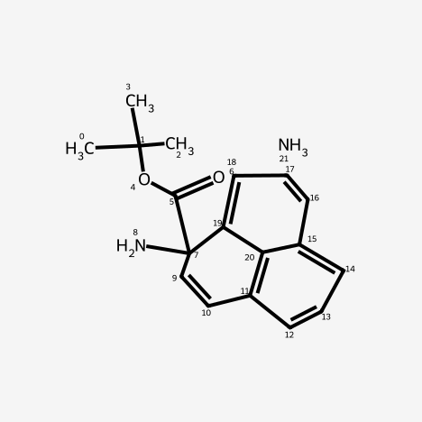 CC(C)(C)OC(=O)C1(N)C=Cc2cccc3cccc1c23.N